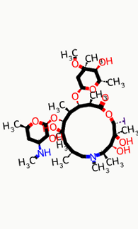 CN[C@H]1C[C@@H](C)O[C@@H](O[C@@H]2[C@@H](C)[C@H](O[C@H]3C[C@@](C)(OC)[C@@H](O)[C@H](C)O3)[C@@H](C)C(=O)O[C@H](I)[C@@](C)(O)[C@H](O)[C@@H](C)N(C)C[C@H](C)C[C@@]2(C)O)[C@@H]1O